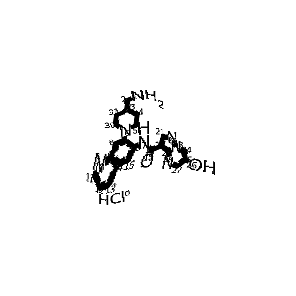 Cl.NCC1CCN(c2cc3ncccc3cc2NC(=O)c2cnn3cc(O)cnc23)CC1